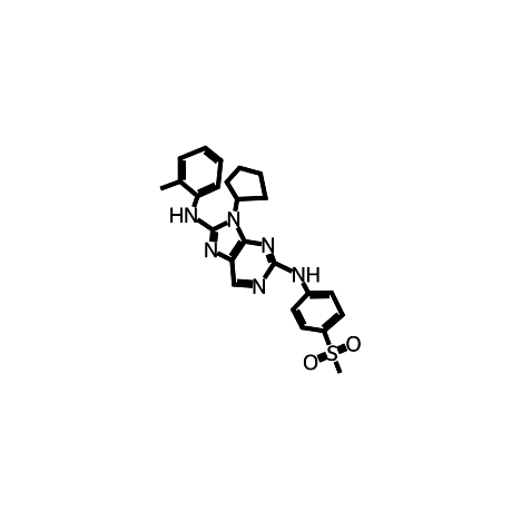 Cc1ccccc1Nc1nc2cnc(Nc3ccc(S(C)(=O)=O)cc3)nc2n1C1CCCC1